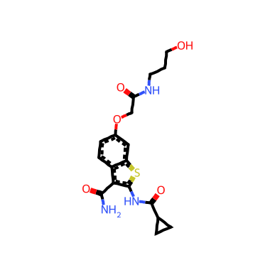 NC(=O)c1c(NC(=O)C2CC2)sc2cc(OCC(=O)NCCCO)ccc12